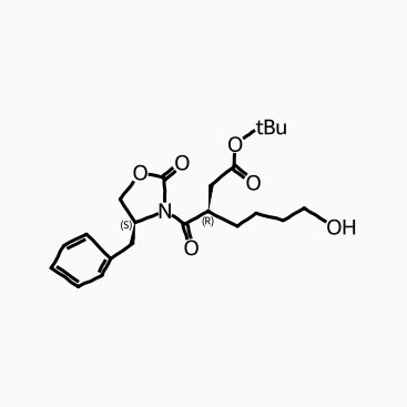 CC(C)(C)OC(=O)C[C@@H](CCCCO)C(=O)N1C(=O)OC[C@@H]1Cc1ccccc1